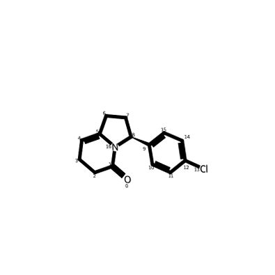 O=C1CCC=C2CC[C@@H](c3ccc(Cl)cc3)N12